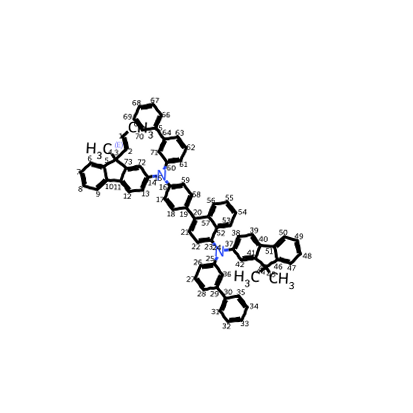 C/C=C/C1(C)c2ccccc2-c2ccc(N(c3ccc(-c4ccc(N(c5cccc(-c6ccccc6)c5)c5ccc6c(c5)C(C)(C)c5ccccc5-6)c5ccccc45)cc3)c3cccc(-c4ccccc4)c3)cc21